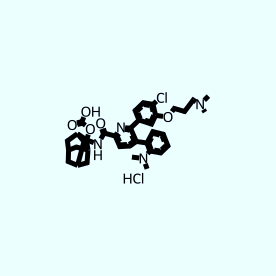 CN(C)CCCOc1cc(-c2nc(C(=O)NC3(OC(=O)O)C4CC5CC(C4)CC3C5)ccc2-c2ccccc2N(C)C)ccc1Cl.Cl